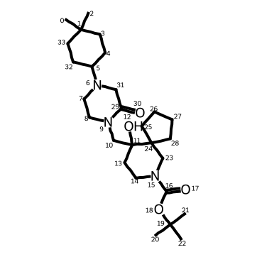 CC1(C)CCC(N2CCN(CC3(O)CCN(C(=O)OC(C)(C)C)CC34CCCC4)C(=O)C2)CC1